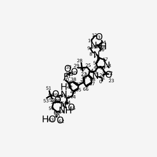 CCn1c(-c2cc(N3CCN4CCOC[C@@H]4C3)cnc2C(C)OC)c(CC(C)(C)COC(C)=O)c2cc(-c3cc(CF)cc(CC(NC(=O)OC(C)(C)C)C(=O)N4CCC[C@@H](C(=O)O)N4)c3)ccc21